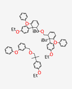 CCOc1ccc(C(C)(C)COCc2cccc(Oc3ccccc3)c2)cc1.CCOc1ccc(C2(C(C)CC)C(Oc3ccccc3)=CC=CC2COCC2C=CC=C(Oc3ccccc3)C2(c2ccc(OCC)cc2)C(C)CC)cc1